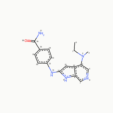 CCN(C)c1cncc2[nH]c(Nc3ccc(C(N)=O)cc3)cc12